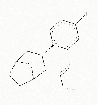 COC(=O)[C@@H]1C2CCC(C[C@H]1c1ccc(I)cc1)O2